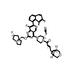 Cc1c(F)ccc2cccc(-c3ncc4c(N5CCN(C(=O)/C=C/CN6[C@@H]7CC[C@H]6COC7)[C@@H](CC#N)C5)nc(OC[C@@]56CCCN5C[C@H](F)C6)nc4c3F)c12